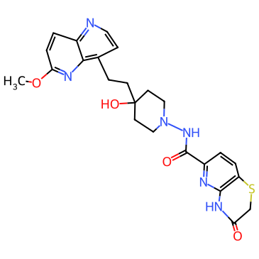 COc1ccc2nccc(CCC3(O)CCN(NC(=O)c4ccc5c(n4)NC(=O)CS5)CC3)c2n1